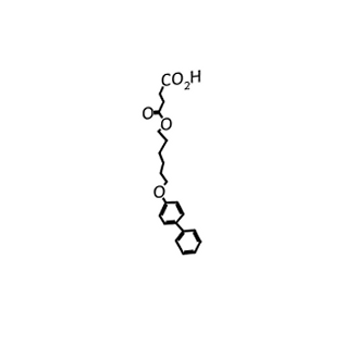 O=C(O)CCC(=O)OCCCCCCOc1ccc(-c2ccccc2)cc1